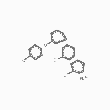 [O-]c1ccccc1.[O-]c1ccccc1.[O-]c1ccccc1.[O-]c1ccccc1.[Pb+4]